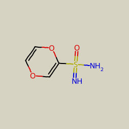 N=S(N)(=O)C1=COC=CO1